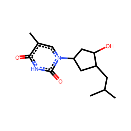 Cc1cn(C2CC(O)C(CC(C)C)C2)c(=O)[nH]c1=O